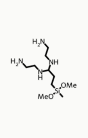 CO[Si](C)(CCC(NCCN)NCCN)OC